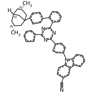 C[C@@H]1C[C@@H]2C[C@H](C)CC(c3ccc(-c4ccccc4-c4nc(-c5ccccc5)nc(-c5ccc(-n6c7ccccc7c7cc(C#N)ccc76)cc5)n4)cc3)(C1)C2